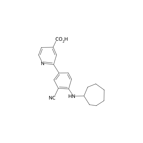 N#Cc1cc(-c2cc(C(=O)O)ccn2)ccc1NC1CCCCCC1